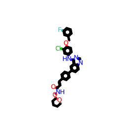 O=C(/C=C/c1ccc(-c2ccc3ncnc(Nc4ccc(OCc5cccc(F)c5)c(Cl)c4)c3c2)cc1)NOC1CCCCO1